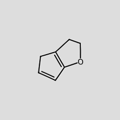 C1=CC2=C(C1)CCO2